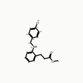 COC(=O)CCc1ccccc1NCc1ccc(Cl)cc1